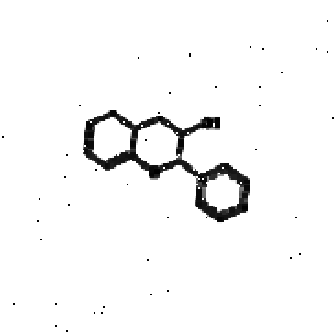 OC1CC2CC=CC=C2OC1c1ccccc1